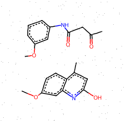 COc1ccc2c(C)cc(O)nc2c1.COc1cccc(NC(=O)CC(C)=O)c1